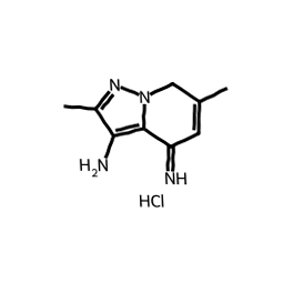 CC1=CC(=N)c2c(N)c(C)nn2C1.Cl